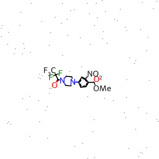 COC(=O)c1ccc(N2CCN(C(=O)C(F)(F)C(F)(F)F)CC2)cc1[N+](=O)[O-]